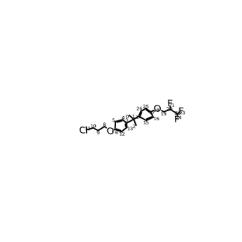 CC(C)(c1ccc(OCCCCl)cc1)c1ccc(OCC(F)C(F)F)cc1